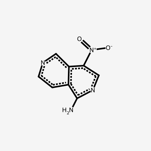 Nc1ncc([N+](=O)[O-])c2cnccc12